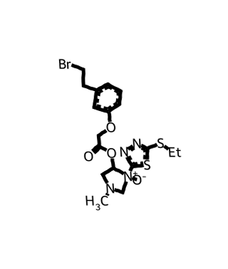 CCSc1nnc([N+]2([O-])CN(C)CC2OC(=O)COc2cccc(CCBr)c2)s1